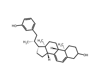 C[C@H](Cc1cccc(O)c1)[C@H]1CC[C@H]2C3=CC=C4CC(O)CC[C@]4(C)[C@H]3CC[C@]12C